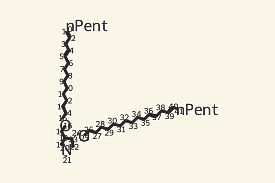 CCCCCC=CCC=CCCCCCCCCCCOCC1CN(C)C[C@H]1COCCCCCCCCCCC=CCC=CCCCCC